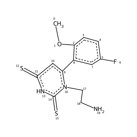 COc1ccc(F)cc1-c1cc(=S)[nH]c(=S)n1CCN